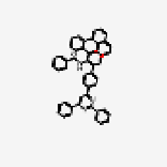 O=C(Nc1c(-c2ccc(-c3cc(-c4ccccc4)nc(-c4ccccc4)n3)cc2)cccc1-c1ccccc1-c1cccc2ccccc12)c1ccccc1